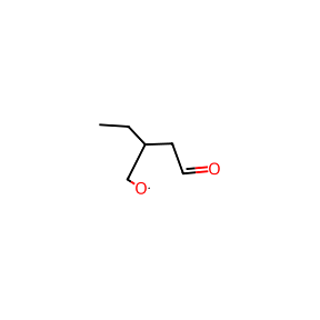 CCC(C[O])CC=O